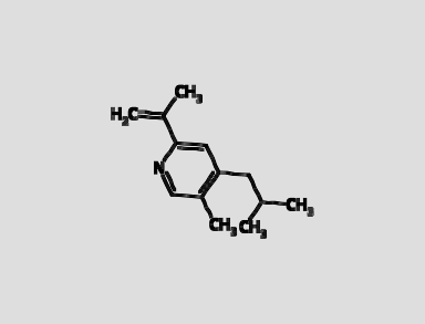 C=C(C)c1cc(CC(C)C)c(C)cn1